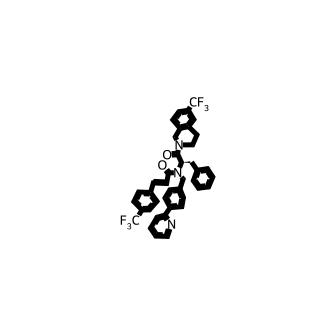 O=C([C@H](Cc1ccccc1)N(Cc1ccc(-c2ccccn2)cc1)C(=O)C=Cc1ccc(C(F)(F)F)cc1)N1CCc2cc(C(F)(F)F)ccc2C1